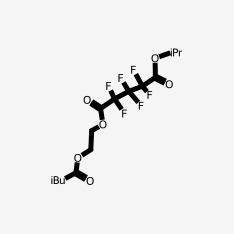 CCC(C)C(=O)OCCOC(=O)C(F)(F)C(F)(F)C(F)(F)C(=O)OC(C)C